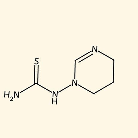 NC(=S)NN1C=NCCC1